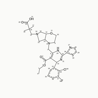 CCOC(=O)C1=C(CN2CCOC3CN(CC(C)(C)C(=O)O)CC32)NC(c2nccs2)=NC1c1cccc(F)c1Cl